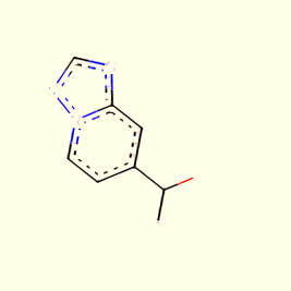 CC(O)c1ccn2ncnc2c1